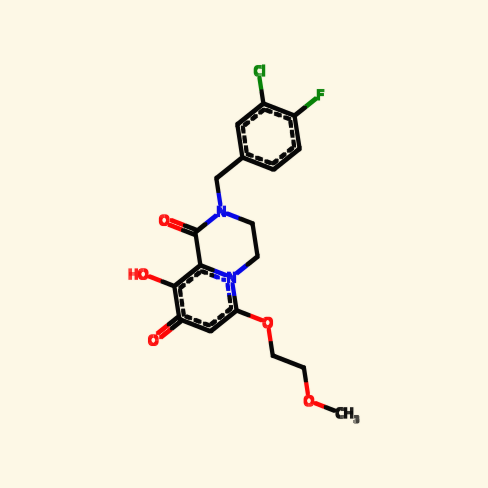 COCCOc1cc(=O)c(O)c2n1CCN(Cc1ccc(F)c(Cl)c1)C2=O